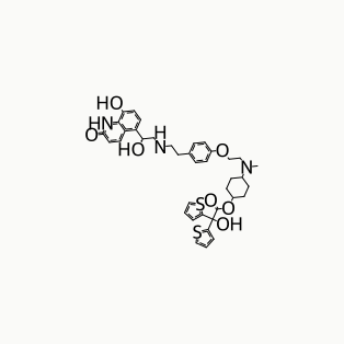 CN(CCOc1ccc(CCNC[C@@H](O)c2ccc(O)c3[nH]c(=O)ccc23)cc1)C1CCC(OC(=O)C(O)(c2cccs2)c2cccs2)CC1